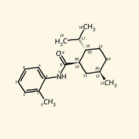 Cc1ccccc1NC(=O)[C@@H]1C[C@H](C)CC[C@H]1C(C)C